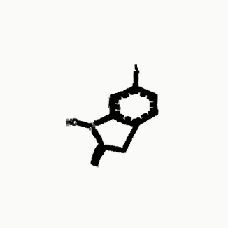 C=C1Cc2ccc(I)cc2N1O